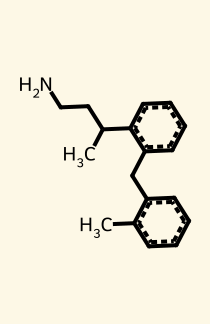 Cc1ccccc1Cc1ccccc1C(C)CCN